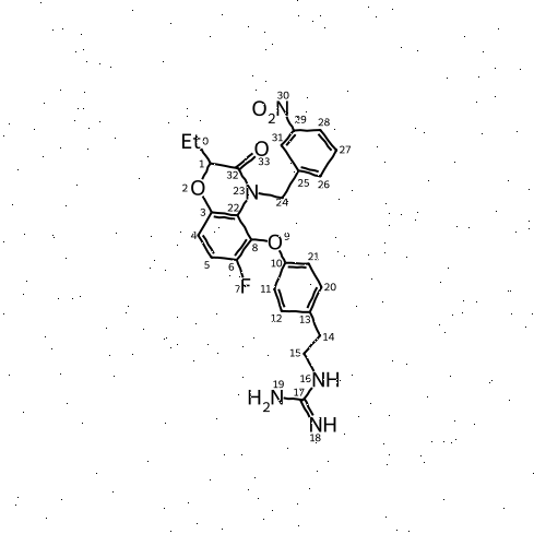 CCC1Oc2ccc(F)c(Oc3ccc(CCNC(=N)N)cc3)c2N(Cc2cccc([N+](=O)[O-])c2)C1=O